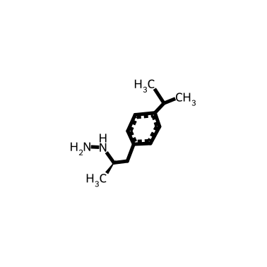 CC(C)c1ccc(C[C@@H](C)NN)cc1